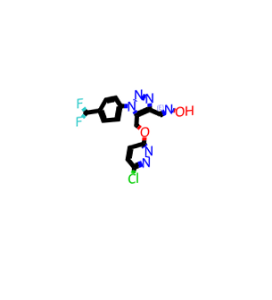 O/N=C/c1nnn(-c2ccc(C(F)F)cc2)c1COc1ccc(Cl)nn1